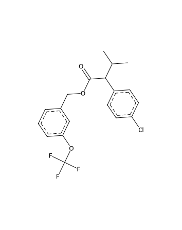 CC(C)C(C(=O)OCc1cccc(OC(F)(F)F)c1)c1ccc(Cl)cc1